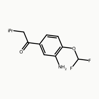 CC(C)CC(=O)c1ccc(OC(F)F)c(N)c1